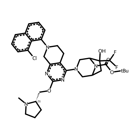 CN1CCC[C@H]1COc1nc2c(c(N3CC4CC(O)(C(F)F)C(C3)N4C(=O)OC(C)(C)C)n1)CCN(c1cccc3cccc(Cl)c13)C2